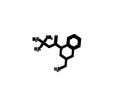 CCC1Cc2ccccc2N(C(=O)CC(C)(C)C)C1